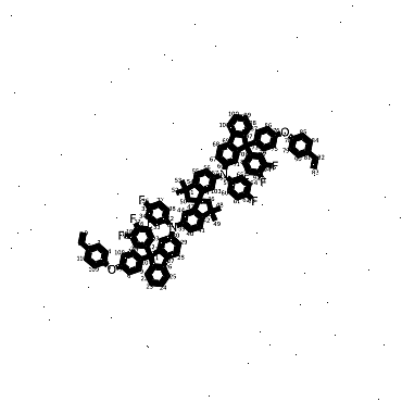 C=Cc1ccc(Oc2ccc(C3(c4cc(F)c(F)c(F)c4)c4ccccc4-c4ccc(N(c5ccc(F)cc5)c5ccc6c(c5)C5(CC6(C)C)CC(C)(C)c6ccc(N(c7ccc(F)cc7)c7ccc8c(c7)C(c7ccc(Oc9ccc(C=C)cc9)cc7)(c7cc(F)c(F)c(F)c7)c7ccccc7-8)cc65)cc43)cc2)cc1